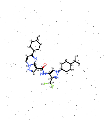 CC1CCC(c2ccn3ncc(C(=O)Nc4cn(C5CCC(C(C)C)CC5)nc4C(F)F)c3n2)CC1